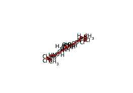 CN1Cc2c(Cl)cc(Cl)cc2[C@H](c2cccc(SNCCOCCOCCNC(=O)NCCN(CCNC(=O)NCCOCCOCCN[S+]([O-])c3cccc([C@@H]4CN(C)Cc5c(Cl)cc(Cl)cc54)c3)C(=O)OC(C)(C)C)c2)C1